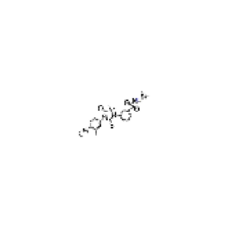 [C-]#[N+]c1ccc(N2C(=O)C(C)(C)N(c3cccc(S(=O)(=O)/N=C/N(C)C)c3)C2=S)cc1C